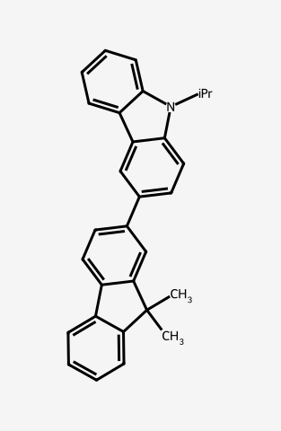 CC(C)n1c2ccccc2c2cc(-c3ccc4c(c3)C(C)(C)c3ccccc3-4)ccc21